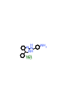 Cl.Cl.Nc1ccc(CNC2=Nc3ccccc3C(c3ccccc3)CN2)cc1